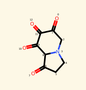 O=C1CN2CCC(=O)C2C(=O)C1=O